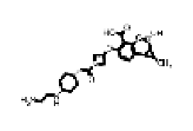 CC1C2B(O)Oc3c(ccc(OC4CN(C(=O)C[C@H]5CC[C@@H](NCCN)CC5)C4)c3C(=O)O)C12